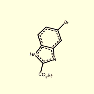 CCOC(=O)c1nc2cc(Br)ccc2[nH]1